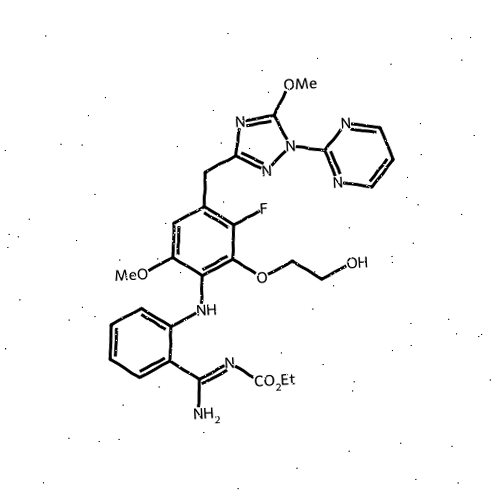 [CH2]Oc1nc(Cc2cc(OC)c(Nc3ccccc3C(N)=NC(=O)OCC)c(OCCO)c2F)nn1-c1ncccn1